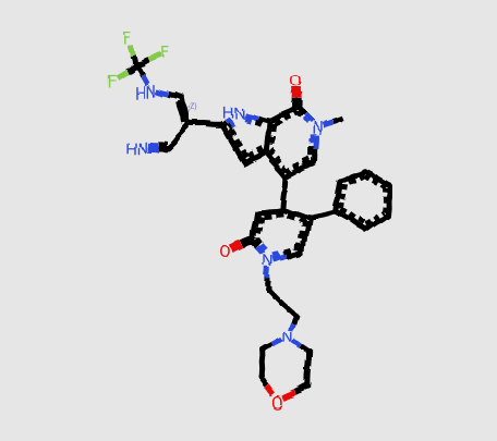 Cn1cc(-c2cc(=O)n(CCN3CCOCC3)cc2-c2ccccc2)c2cc(/C(C=N)=C/NC(F)(F)F)[nH]c2c1=O